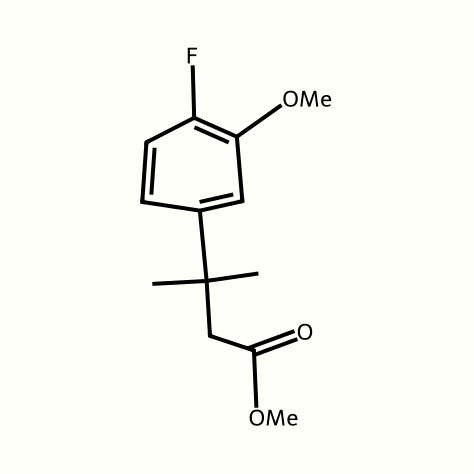 COC(=O)CC(C)(C)c1ccc(F)c(OC)c1